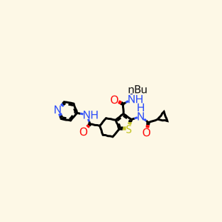 CCCCNC(=O)c1c(NC(=O)C2CC2)sc2c1CC(C(=O)Nc1ccncc1)CC2